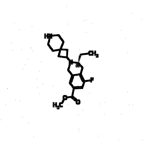 CC[C@@H]1Cc2c(F)cc(C(=O)OC)cc2CN1C1CC2(CCNCC2)C1